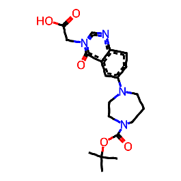 CC(C)(C)OC(=O)N1CCCN(c2ccc3ncn(CC(=O)O)c(=O)c3c2)CC1